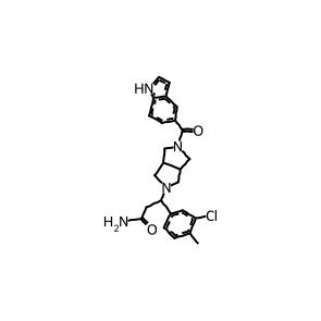 Cc1ccc(C(CC(N)=O)N2CC3CN(C(=O)c4ccc5[nH]ccc5c4)CC3C2)cc1Cl